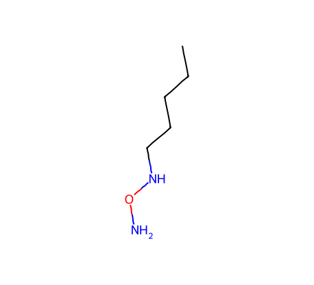 CCCCCNON